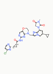 CN1C(=O)CN(c2cc(C3CC3)cn3cc(CN4CCOc5cnc(NC(=O)[C@H]6C[C@@H]6c6nccc(Cl)n6)nc54)nc23)C1=O